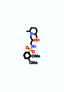 COc1cccc(S(=O)(=O)NCC(O)CN2C(C)CCCC2C)c1OC